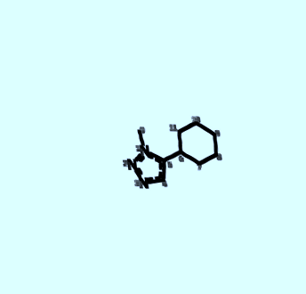 Cn1nncc1C1CCCCC1